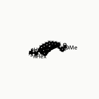 CCCCCCc1ccsc1-c1sc(C23C=C4Cc5cc6cc7c8c9c(cc%10cc%11c%12c%13c%10c9c9c%13c%10c(c2c2c4c5c4c6c8c9c4c2%10)C%12(Cc2cccc(C(=O)OC)c2)C(=C3)C%11)C7)cc1CCCCCC